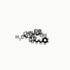 CC(C)COC(=O)N(OC(=O)CCCc1ccccc1)C(=N)N(C)CC(=O)O